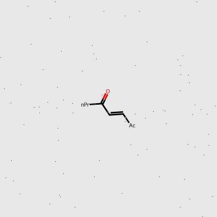 CCCC(=O)C=CC(C)=O